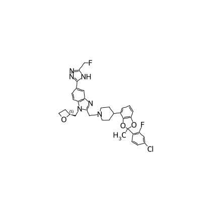 CC1(c2ccc(Cl)cc2F)Oc2cccc(C3CCN(Cc4nc5cc(-c6nnc(CF)[nH]6)ccc5n4C[C@@H]4CCO4)CC3)c2O1